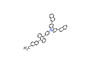 Cc1ccc2cc(-c3c4ccccc4c(-c4ccc(-n5c6ccc(-c7ccc8ccccc8c7)cc6c6cc(-c7ccc8ccccc8c7)ccc65)cc4)c4ccccc34)ccc2c1